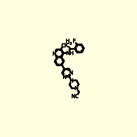 CC(Nc1c(Cl)cnc2ccc(-c3cnc(N4CCN(CC#N)CC4)nc3)cc12)c1ccccc1F